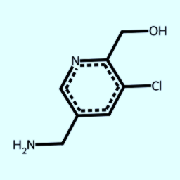 NCc1cnc(CO)c(Cl)c1